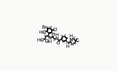 CC1(C)CN=C(Nc2cccc(C(=O)NCC(=O)NC(CC(=O)O)c3cc(Cl)cc(Br)c3O)c2)NC1